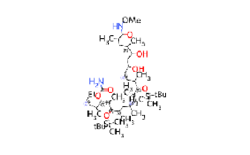 CC/C=C\C(C)[C@H](OC(N)=O)[C@@H](C)[C@H](O[Si](C)(C)C(C)(C)C)[C@@H](C)C/C(C)=C\[C@H](C)[C@@H](O[Si](C)(C)C(C)(C)C)C(C)/C=C\C(O)CC(O)[C@H](C)CC(C)C(=O)NOC